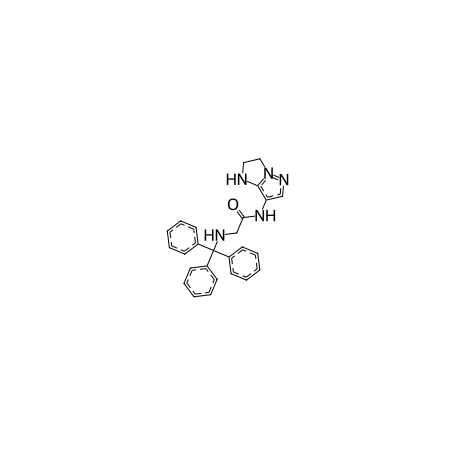 O=C(CNC(c1ccccc1)(c1ccccc1)c1ccccc1)Nc1cnn2c1NCC2